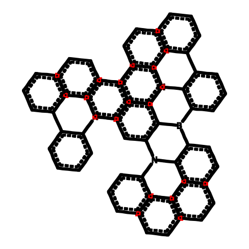 c1ccc(-c2ccccc2N(c2cc3c4c(c2)N(c2ccccc2-c2ccccc2)c2c(cccc2-c2ccccc2)B4c2cccc(-c4ccccc4)c2N3c2ccccc2-c2ccccc2)c2ccccc2-c2ccccc2)cc1